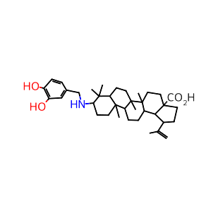 C=C(C)C1CCC2(C(=O)O)CCC3(C)C(CCC4C5(C)CCC(NCc6ccc(O)c(O)c6)C(C)(C)C5CCC43C)C12